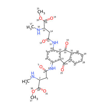 CNC(CC(=O)Nc1ccc(NC(=O)CC(NC)C(=O)OC)c2c1C(=O)c1ccccc1C2=O)C(=O)OC